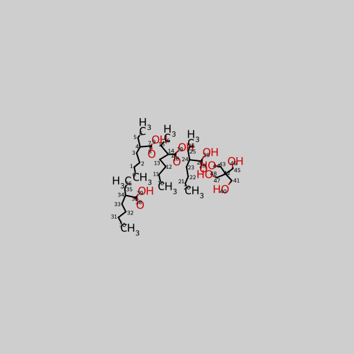 CCCCC(CC)C(=O)O.CCCCC(CC)C(=O)O.CCCCC(CC)C(=O)O.CCCCC(CC)C(=O)O.OCC(CO)(CO)CO